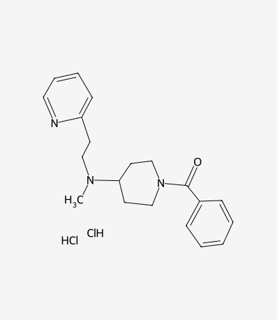 CN(CCc1ccccn1)C1CCN(C(=O)c2ccccc2)CC1.Cl.Cl